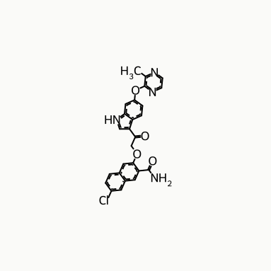 Cc1nccnc1Oc1ccc2c(C(=O)COc3cc4ccc(Cl)cc4cc3C(N)=O)c[nH]c2c1